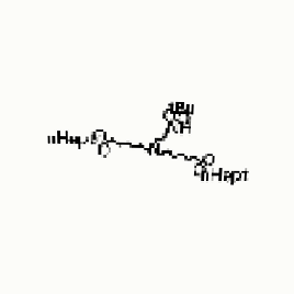 CCCCCCCOC(=O)CCCCCCN(CCCCCCC(=O)OCCCCCCC)CCCNC(=O)OC(C)(C)C